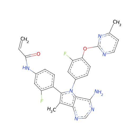 C=CC(=O)Nc1ccc(-c2c(C)c3ncnc(N)c3n2-c2ccc(Oc3nccc(C)n3)c(F)c2)c(F)c1